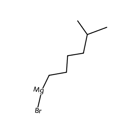 CC(C)CCC[CH2][Mg][Br]